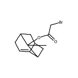 CC1(OC(=O)CBr)C2CC=C3C(C2)CC31